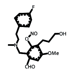 COc1cc(C=O)c(CN(C)CCc2ccc(F)cc2)c(ON=O)c1CCCO